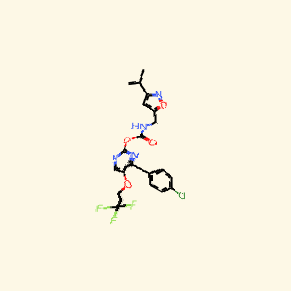 CC(C)c1cc(CNC(=O)Oc2ncc(OCC(F)(F)F)c(-c3ccc(Cl)cc3)n2)on1